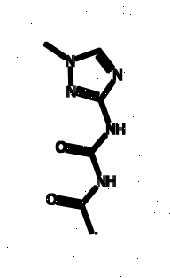 [CH2]C(=O)NC(=O)Nc1ncn(C)n1